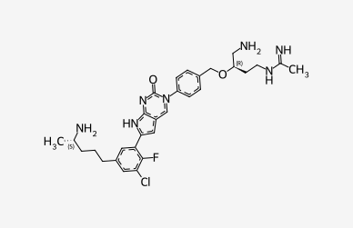 CC(=N)NCC[C@H](CN)OCc1ccc(-n2cc3cc(-c4cc(CCC[C@H](C)N)cc(Cl)c4F)[nH]c3nc2=O)cc1